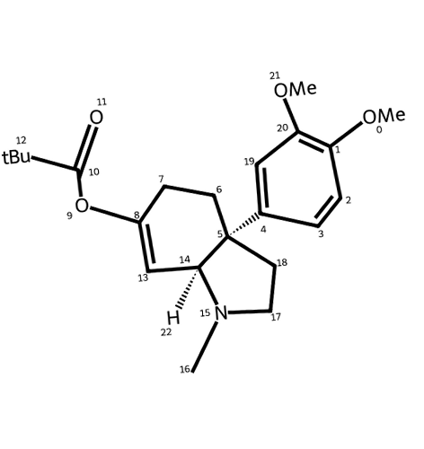 COc1ccc([C@@]23CCC(OC(=O)C(C)(C)C)=C[C@@H]2N(C)CC3)cc1OC